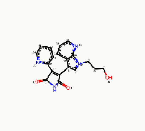 O=C1NC(=O)C(c2cn(CCCO)c3ncccc23)=C1c1ccccn1